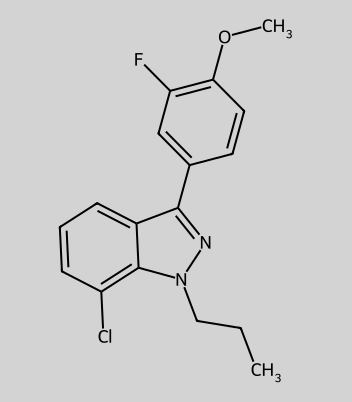 CCCn1nc(-c2ccc(OC)c(F)c2)c2cccc(Cl)c21